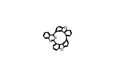 c1ccc2c(c1)nc1nc2c2ccc3oc4cccc(c5ccc6oc7cccc1c7c6c5)c4c3c2